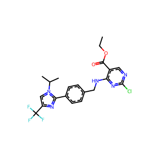 CCOC(=O)c1cnc(Cl)nc1NCc1ccc(-c2nc(C(F)(F)F)cn2C(C)C)cc1